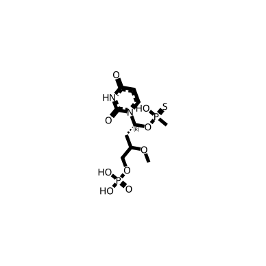 COC(COP(=O)(O)O)C[C@@H](OP(C)(O)=S)n1ccc(=O)[nH]c1=O